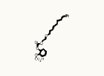 CC(C)CCCCCCCCOCCOC(=O)OC1CCCCC1OC(=O)O